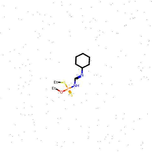 CCOP(=S)(N/C=N/C1CCCCC1)SCC